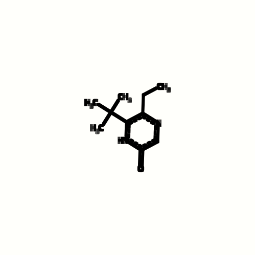 CCc1ncc(=O)[nH]c1C(C)(C)C